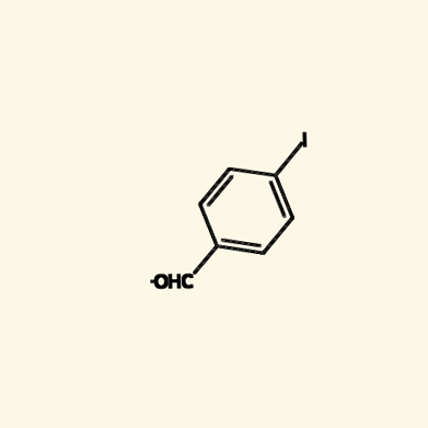 O=[C]c1ccc(I)cc1